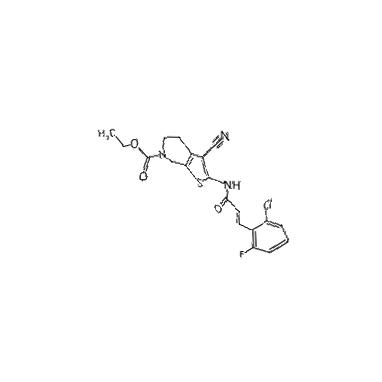 CCOC(=O)N1CCc2c(sc(NC(=O)/C=C/c3c(F)cccc3Cl)c2C#N)C1